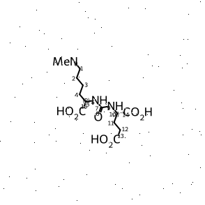 CNCCCC[C@@H](NC(=O)N[C@@H](CCC(=O)O)C(=O)O)C(=O)O